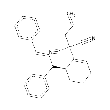 C=CCC(C#N)(C#N)C1=CCCC[C@H]1C(/C=C/c1ccccc1)c1ccccc1